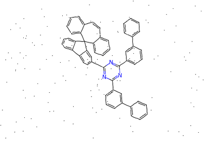 C1=Cc2ccccc2C2(c3ccccc31)c1ccccc1-c1ccc(-c3nc(-c4cccc(-c5ccccc5)c4)nc(-c4cccc(-c5ccccc5)c4)n3)cc12